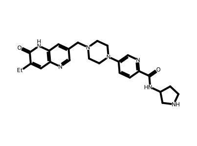 CCc1cc2ncc(CN3CCN(c4ccc(C(=O)NC5CCNC5)nc4)CC3)cc2[nH]c1=O